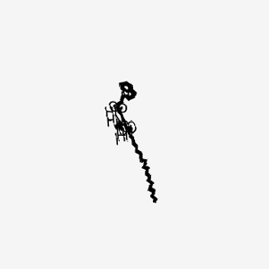 CCCCCCCCCCCCCCCCCCNC(=O)OCC(CNS(=O)(=O)CCC[n+]1cccc2ccccc21)NC(C)=O.[I-]